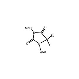 CCC1(C)C(=O)N(OC)C(=O)N1OC